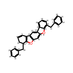 C1=Cc2c(oc3cc4oc5c(Cc6ccccc6)cccc5c4cc23)C(Cc2ccccc2)C1